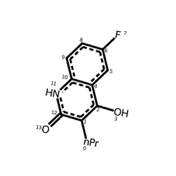 CCCc1c(O)c2cc(F)ccc2[nH]c1=O